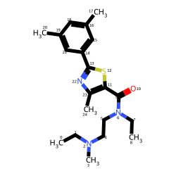 CCN(C)CCN(CC)C(=O)c1sc(-c2cc(C)cc(C)c2)nc1C